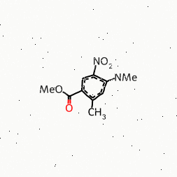 CNc1cc(C)c(C(=O)OC)cc1[N+](=O)[O-]